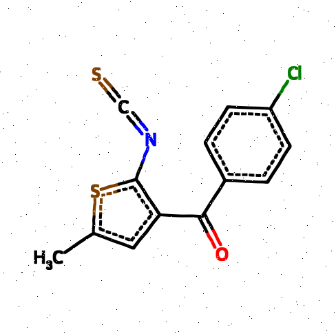 Cc1cc(C(=O)c2ccc(Cl)cc2)c(N=C=S)s1